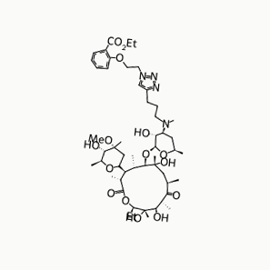 CCOC(=O)c1ccccc1OCCn1cc(CCCN(C)[C@H]2C[C@@H](C)O[C@@H](O[C@@H]3[C@@H](C)[C@H](C4C[C@@](C)(OC)[C@@H](O)[C@H](C)O4)[C@@H](C)C(=O)O[C@H](CC)[C@@](C)(O)[C@H](O)[C@@H](C)C(=O)[C@H](C)C[C@@]3(C)O)[C@@H]2O)nn1